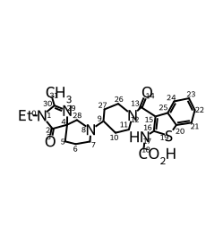 CCN1C(=O)C2(CCCN(C3CCN(C(=O)c4c(NC(=O)O)sc5ccccc45)CC3)C2)N=C1C